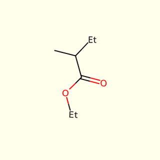 [CH2]COC(=O)C(C)CC